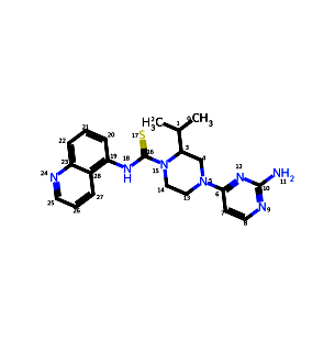 CC(C)C1CN(c2ccnc(N)n2)CCN1C(=S)Nc1cccc2ncccc12